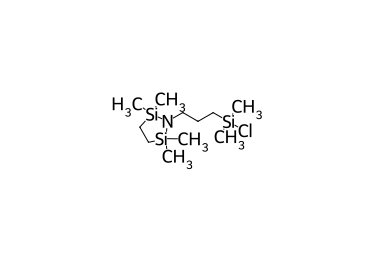 C[Si](C)(Cl)CCCN1[Si](C)(C)CC[Si]1(C)C